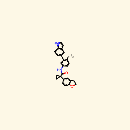 Cc1ccc(NC(=O)C2(c3ccc4c(c3)CCO4)CC2)cc1-c1ccc2[nH]ccc2c1